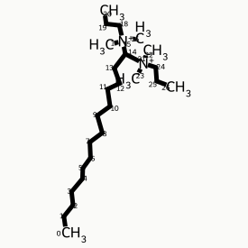 CCCCCCCCCCCCCCC([N+](C)(C)CCC)[N+](C)(C)CCC